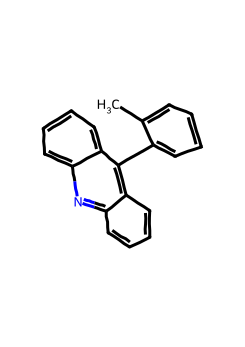 Cc1ccccc1-c1c2ccccc2nc2ccccc12